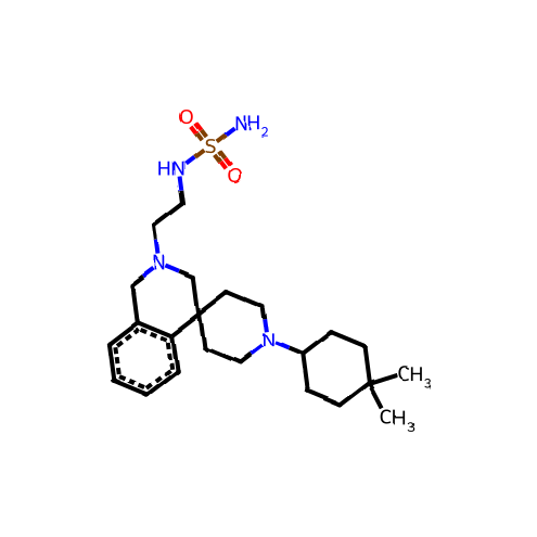 CC1(C)CCC(N2CCC3(CC2)CN(CCNS(N)(=O)=O)Cc2ccccc23)CC1